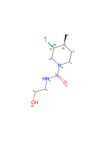 C[C@H]1CCN(C(=O)NCCO)C[C@H]1F